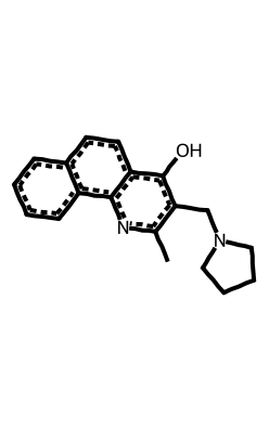 Cc1nc2c(ccc3ccccc32)c(O)c1CN1CCCC1